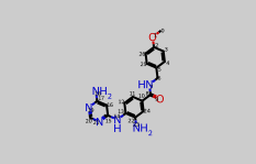 COc1ccc(CNC(=O)c2ccc(Nc3cc(N)ncn3)c(N)c2)cc1